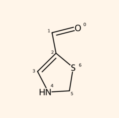 O=CC1=CNCS1